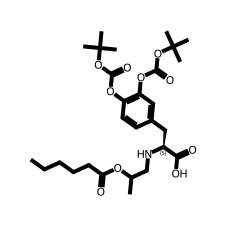 CCCCCC(=O)OC(C)CN[C@@H](Cc1ccc(OC(=O)OC(C)(C)C)c(OC(=O)OC(C)(C)C)c1)C(=O)O